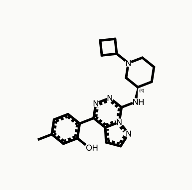 Cc1ccc(-c2nnc(N[C@@H]3CCCN(C4CCC4)C3)n3nccc23)c(O)c1